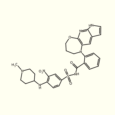 CN1CCC(Nc2ccc(S(=O)(=O)NC(=O)c3ccccc3N3CCCOc4nc5[nH]ccc5cc43)cc2[N+](=O)[O-])CC1